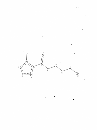 Cn1ccnc1C(=S)CCCC[O]